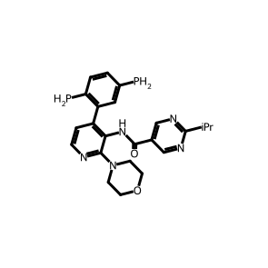 CC(C)c1ncc(C(=O)Nc2c(-c3cc(P)ccc3P)ccnc2N2CCOCC2)cn1